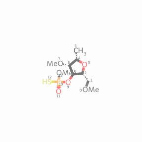 COC[C@H]1O[C@@H](C)[C@@H](OC)C1OP(=O)(S)OC